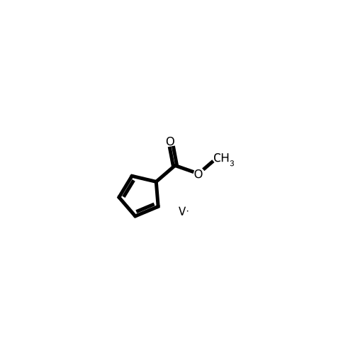 COC(=O)C1C=CC=C1.[V]